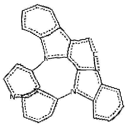 c1ccc(-n2c3ccccc3c3ccc4c5ccccc5n(-c5ccncc5)c4c32)cc1